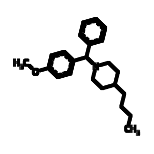 CCCCC1CCN(C(c2ccccc2)c2ccc(OC)cc2)CC1